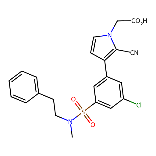 CN(CCc1ccccc1)S(=O)(=O)c1cc(Cl)cc(-c2ccn(CC(=O)O)c2C#N)c1